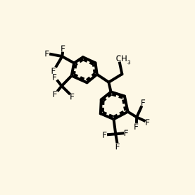 CCC(c1ccc(C(F)(F)F)c(C(F)(F)F)c1)c1ccc(C(F)(F)F)c(C(F)(F)F)c1